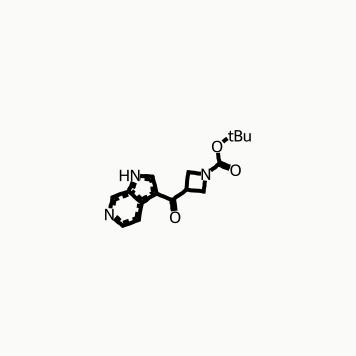 CC(C)(C)OC(=O)N1CC(C(=O)c2c[nH]c3cnccc23)C1